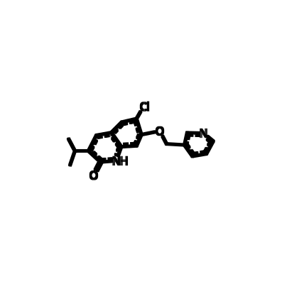 CC(C)c1cc2cc(Cl)c(OCc3cccnc3)cc2[nH]c1=O